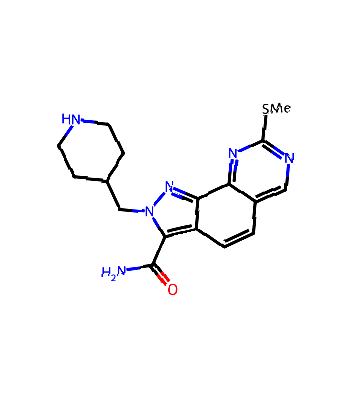 CSc1ncc2ccc3c(C(N)=O)n(CC4CCNCC4)nc3c2n1